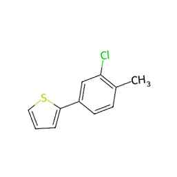 Cc1ccc(-c2cccs2)cc1Cl